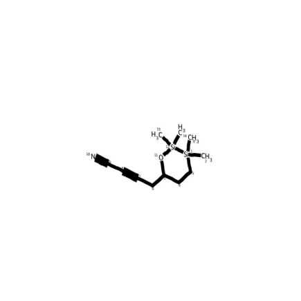 C[Si]1(C)CCC(CC#CC#N)O[Si]1(C)C